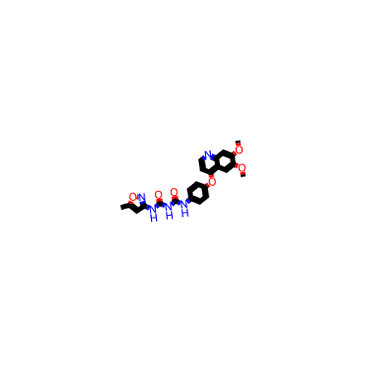 COc1cc2nccc(Oc3ccc(NC(=O)NC(=O)Nc4cc(C)on4)cc3)c2cc1OC